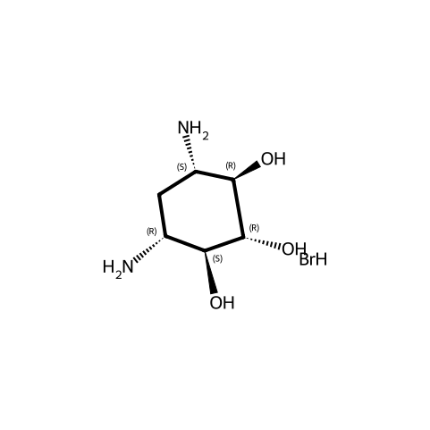 Br.N[C@@H]1C[C@H](N)[C@@H](O)[C@H](O)[C@H]1O